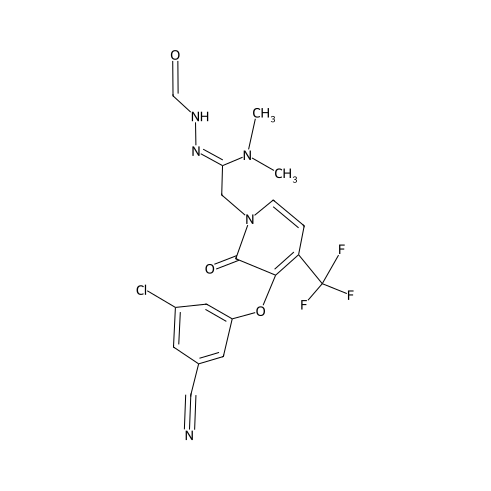 CN(C)/C(Cn1ccc(C(F)(F)F)c(Oc2cc(Cl)cc(C#N)c2)c1=O)=N\NC=O